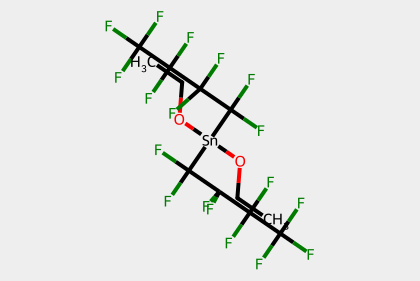 CC[O][Sn]([O]CC)([C](F)(F)C(F)(F)C(F)(F)C(F)(F)F)[C](F)(F)C(F)(F)C(F)(F)C(F)(F)F